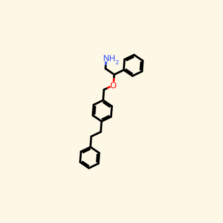 NCC(OCc1ccc(CCc2ccccc2)cc1)c1ccccc1